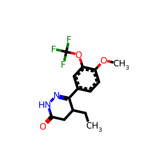 CCC1CC(=O)NN=C1c1ccc(OC)c(OC(F)(F)F)c1